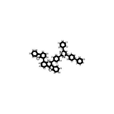 c1ccc(-c2ccc(-c3cc(-c4ccccc4)nc(-c4ccc(-c5nc6c(-c7cccc8c7oc7ccccc78)cccc6c6oc7ccccc7c56)cc4)n3)cc2)cc1